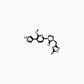 COc1nc(N2CCN(Cc3noc(C)n3)C2=O)ccc1-c1cn[nH]c1